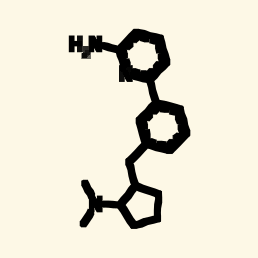 CN(C)C1CCCC1Cc1cccc(-c2cccc(N)n2)c1